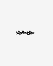 Cc1ncnc2c1ccn2[C@H]1CC[C@@H](CNc2ccc3cc(Br)cnc3c2)C1